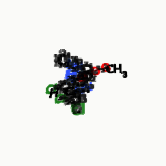 COCCOc1ccc(N2CCN(C3CCCCC3)CC2)c(NC(=O)c2[nH]c3cc(Cl)ccc3c2-c2c(-c3ccccc3)ncn2[C@@H](C)c2ccc(Cl)cc2Cl)c1